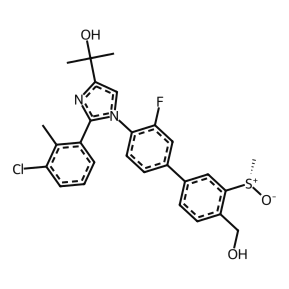 Cc1c(Cl)cccc1-c1nc(C(C)(C)O)cn1-c1ccc(-c2ccc(CO)c([S@+](C)[O-])c2)cc1F